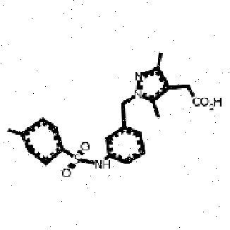 Cc1ccc(S(=O)(=O)Nc2cccc(Cn3nc(C)c(CC(=O)O)c3C)c2)cc1